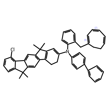 CC1(C)C2=C(CCC(N(c3ccc(-c4ccccc4)cc3)c3ccccc3C/C3=C/C=C\C=CCC3)=C2)c2cc3c(cc21)-c1c(Cl)cccc1C3(C)C